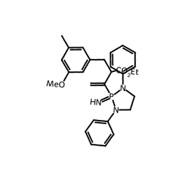 C=C(C(Cc1cc(C)cc(OC)c1)C(=O)OCC)P1(=N)N(c2ccccc2)CCN1c1ccccc1